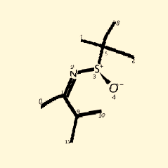 CC(=N[S@+]([O-])C(C)(C)C)C(C)C